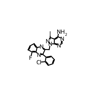 Nc1ncnc2c1c(I)nn2Cc1nc2cccc(F)c2nc1-c1ccccc1Cl